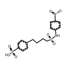 O=[N+]([O-])c1ccc(NS(=O)(=O)CCCCc2ccc(S(=O)(=O)O)cc2)cc1